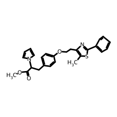 COC(=O)C(Cc1ccc(OCCc2nc(-c3ccccc3)sc2C)cc1)n1cccc1